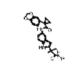 CC(C)NC(=O)C(C)(C)c1cc2cc(NC(=O)C3(c4ccc5c(c4)OCO5)CC3)ccc2[nH]1